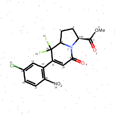 COC(=O)[C@@H]1CCC2N1C(=O)C=C(c1cc(Cl)ccc1[N+](=O)[O-])C2(F)F